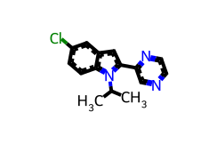 CC(C)n1c(-c2cnccn2)cc2cc(Cl)ccc21